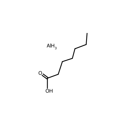 CCCCCCC(=O)O.[AlH3]